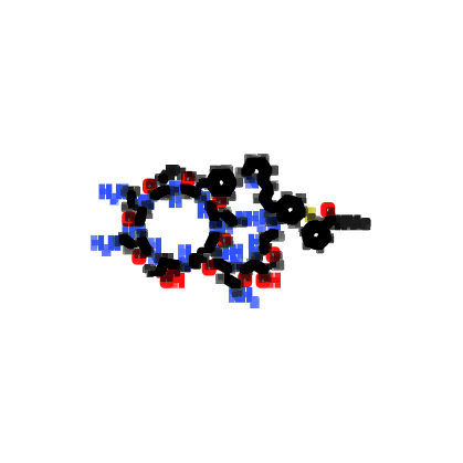 CNC(=O)c1ccccc1Sc1ccc2c(/C=C/c3ccccn3)nn(CCC(=O)NC(C(=O)N[C@H](CCN)C(=O)N[C@@H]3CCNC(=O)[C@H]([C@@H](C)O)NC(=O)[C@H](CCN)NC(=O)[C@H](CCN)NC(=O)[C@H](CC(C)C)NC(=O)[C@H](Cc4ccccc4)NC(=O)[C@H](CCN)NC3=O)[C@H](C)O)c2c1